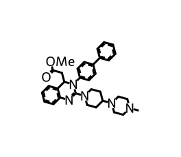 COC(=O)CC1c2ccccc2N=C(N2CCC(N3CCN(C)CC3)CC2)N1c1ccc(-c2ccccc2)cc1